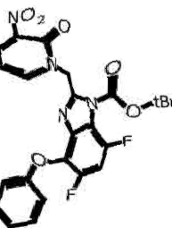 CC(C)(C)OC(=O)n1c(Cn2cccc([N+](=O)[O-])c2=O)nc2c(Oc3ccccc3)c(F)cc(F)c21